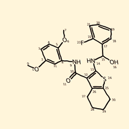 COc1ccc(OC)c(NC(=O)c2c(NC(O)c3ccccc3F)sc3c2CCCC3)c1